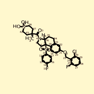 CC1(C(=O)N2CC[C@@]3(S(=O)(=O)c4ccc(F)cc4)c4ccc(OCc5c(F)cccc5Cl)cc4CC[C@@H]23)CCS(O)(O)CC1